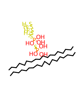 CCCCCCCCCCCCCCCCCC.CCCCCCCCCCCCCCCCCC.OP(O)(O)=S.OP(O)(O)=S.S.S.S.S